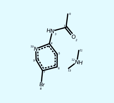 CC(=O)Nc1ccc(Br)cn1.CNC